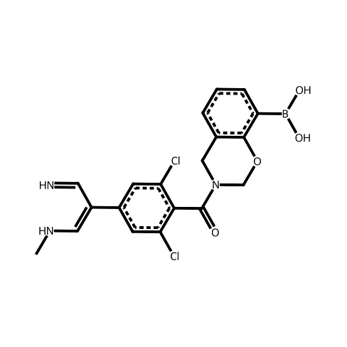 CN/C=C(\C=N)c1cc(Cl)c(C(=O)N2COc3c(cccc3B(O)O)C2)c(Cl)c1